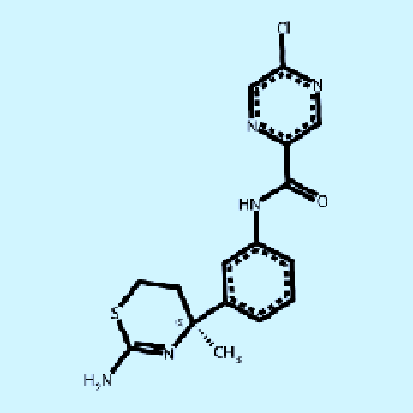 C[C@@]1(c2cccc(NC(=O)c3cnc(Cl)cn3)c2)CCSC(N)=N1